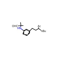 CCCCC(CCc1cccc(NC(C)(C)C=O)c1)C(C)=O